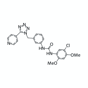 COc1cc(OC)c(NC(=O)Nc2cccc(Cn3nnnc3-c3ccncc3)c2)cc1Cl